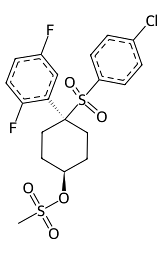 CS(=O)(=O)O[C@H]1CC[C@@](c2cc(F)ccc2F)(S(=O)(=O)c2ccc(Cl)cc2)CC1